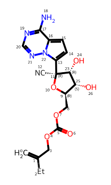 C=C(CC)COC(=O)OC[C@H]1O[C@@](C#N)(c2ccc3c(N)ncnn23)[C@H](O)[C@@H]1O